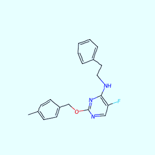 Cc1ccc(COc2ncc(F)c(NCCc3ccccc3)n2)cc1